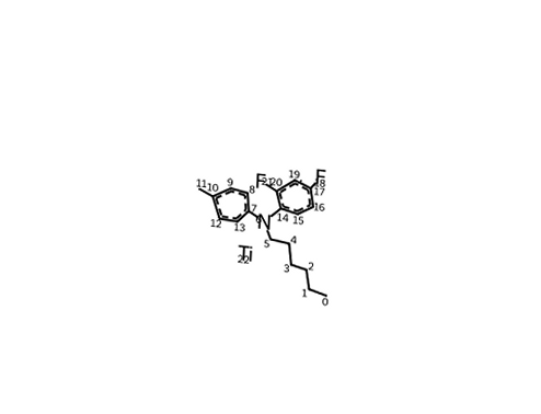 CCCCCCN(c1ccc(C)cc1)c1ccc(F)[c]c1F.[Ti]